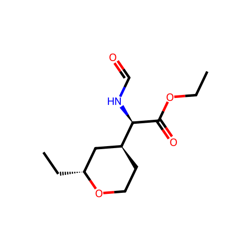 CCOC(=O)[C@H](NC=O)[C@H]1CCO[C@H](CC)C1